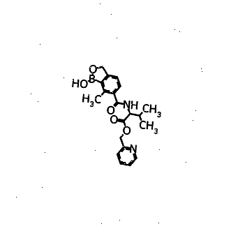 Cc1c(C(=O)N[C@H](C(=O)OCc2ccccn2)C(C)C)ccc2c1B(O)OC2